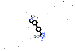 Cn1ccc2cc(-c3ccc(-c4nn[nH]c4C#N)cc3)ccc21